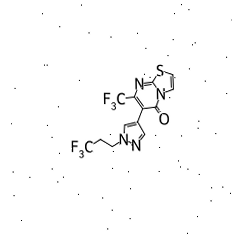 O=c1c(-c2cnn(CCC(F)(F)F)c2)c(C(F)(F)F)nc2sccn12